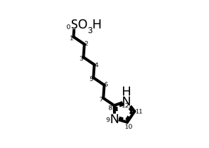 O=S(=O)(O)CCCCCCCc1ncc[nH]1